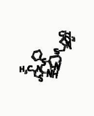 Cc1csc(Nc2ncc(SCc3cc(C)on3)cc2Sc2ccccc2)n1